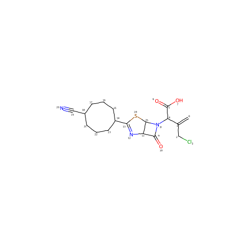 C=C(CCl)C(C(=O)O)N1C(=O)C2N=C(C3CCCC(C#N)CCC3)SC21